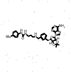 CC1(C)O[C@@H]2[C@H](O1)[C@@H](Cc1cccc(CNCCCNC(=O)Nc3ccc(C(C)(C)C)cc3)c1)O[C@H]2n1cnc2c(N)ncnc21